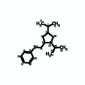 CC(C)C1CC(CSc2ccccc2)N(C(C)C)C1